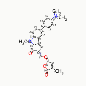 CC1=CC(O/C=C2\C=C3c4cc(-c5ccc(N(C)C)cc5)ccc4N(C)C3C2=O)OC1=O